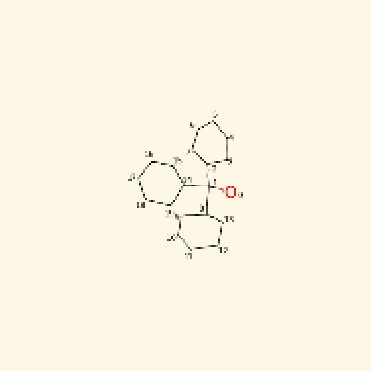 [O]C(C1CCCCC1)(C1CCCCC1)C1CCCCC1